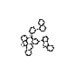 c1cc(-c2cccc3ccccc23)cc(N(c2cccc(-c3cccc4c3sc3ccccc34)c2)c2cccc3oc4c5ccccc5ccc4c23)c1